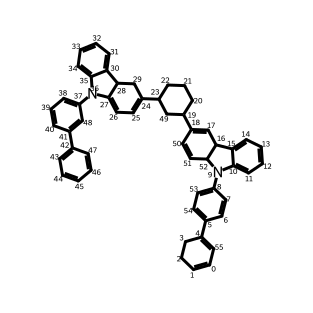 C1=CCCC(c2ccc(N3c4ccccc4C4C=C(C5CCCC(C6=CC=C7C(C6)c6ccccc6N7c6cccc(-c7ccccc7)c6)C5)C=CC43)cc2)=C1